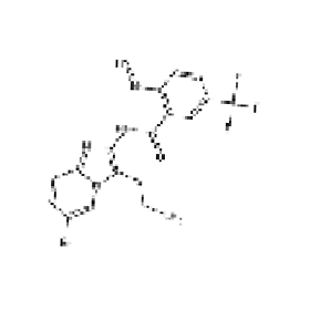 CCSc1c(NC(=O)c2cc(C(F)(F)F)ccc2N=N)nc2ccc(Br)cn12